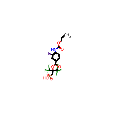 C=CCOC(=O)Nc1ccc(C(=O)OC(CS(=O)(=O)O)(C(F)(F)F)C(F)(F)F)cc1I